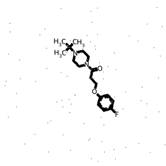 CC(C)(C)N1CCN(C(=O)CCOc2ccc(F)cc2)CC1